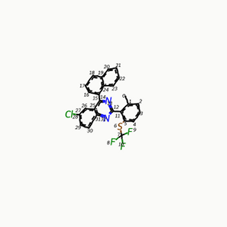 Cc1cccc(SC(F)(F)F)c1-c1nc(-c2cccc3ccccc23)c2cc(Cl)ccc2n1